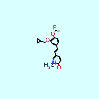 Cn1cc(C=Cc2ccc(OC(F)F)c(OCC3CC3)c2)ccc1=O